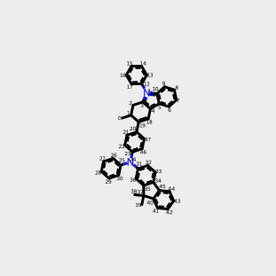 CC1Cc2c(c3ccccc3n2-c2ccccc2)C=C1c1ccc(N(c2ccccc2)c2ccc3c(c2)C(C)(C)c2ccccc2-3)cc1